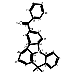 CC1(C)c2ccccc2-n2c3ccc(C(=O)c4ccccc4)cc3c3cccc1c32